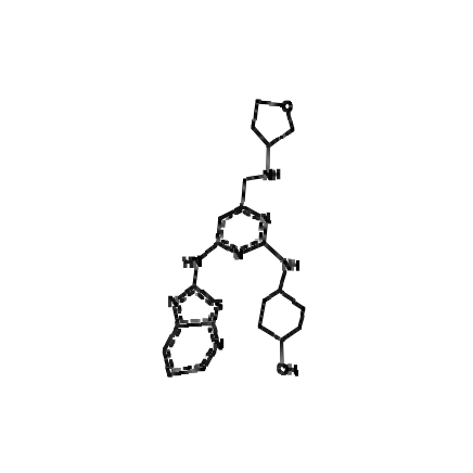 OC1CCC(Nc2nc(CNC3CCOC3)cc(Nc3nc4cccnc4s3)n2)CC1